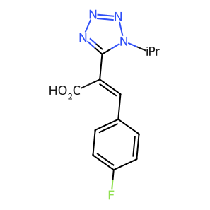 CC(C)n1nnnc1C(=Cc1ccc(F)cc1)C(=O)O